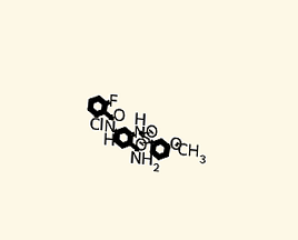 COc1cccc(S(=O)(=O)Nc2cc(NC(=O)c3c(F)cccc3Cl)ccc2CN)c1